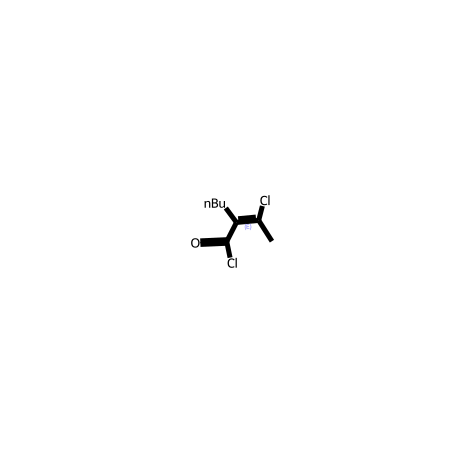 CCCC/C(C(=O)Cl)=C(/C)Cl